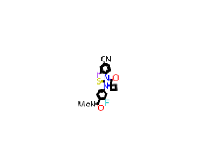 CNC(=O)c1ccc(N2C(=S)N(c3ccc(C#N)cc3I)C(=O)C23CCC3)cc1F